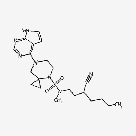 CCCCC(C#N)CCN(C)S(=O)(=O)N1CCN(c2ncnc3[nH]ccc23)CC12CC2